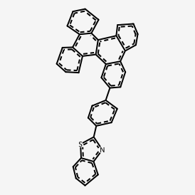 c1ccc2sc(-c3ccc(-c4ccc5c6ccccc6c6c7ccccc7c7ccccc7c6c5c4)cc3)nc2c1